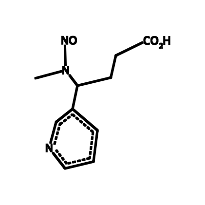 CN(N=O)C(CCC(=O)O)c1cccnc1